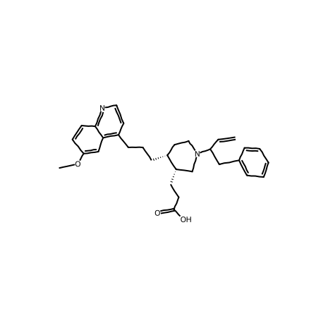 C=CC(Cc1ccccc1)N1CC[C@@H](CCCc2ccnc3ccc(OC)cc23)[C@@H](CCC(=O)O)C1